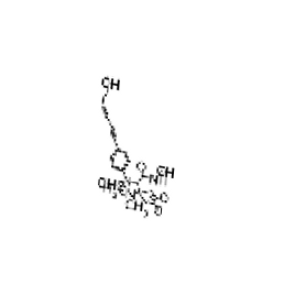 CN(C)C1(C(C(=O)NO)N(C=O)c2ccc(C#CC#CCCO)cc2)CS(=O)(=O)C1